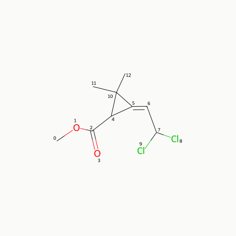 COC(=O)C1C(=CC(Cl)Cl)C1(C)C